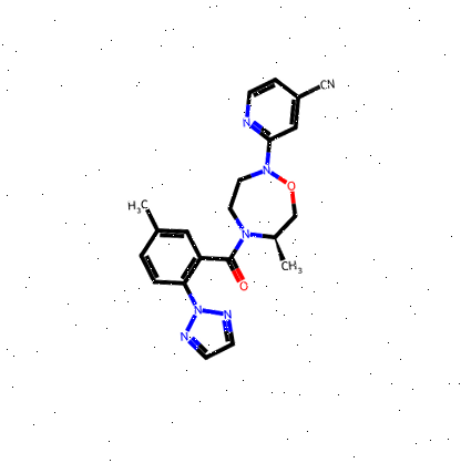 Cc1ccc(-n2nccn2)c(C(=O)N2CCN(c3cc(C#N)ccn3)OC[C@H]2C)c1